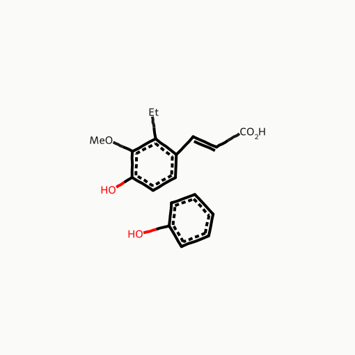 CCc1c(C=CC(=O)O)ccc(O)c1OC.Oc1ccccc1